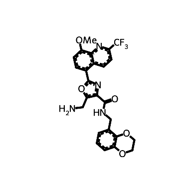 COc1ccc(-c2nc(C(=O)NCc3cccc4c3OCCO4)c(CN)o2)c2ccc(C(F)(F)F)nc12